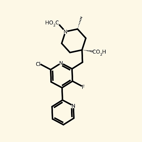 C[C@@H]1C[C@](Cc2nc(Cl)cc(-c3ccccn3)c2F)(C(=O)O)CCN1C(=O)O